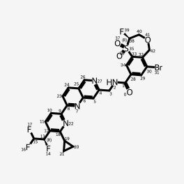 O=C(NCc1cc2nc(-c3ccc([C@@H](F)C(F)F)c(C4CC4)n3)ccc2cn1)c1cc(Br)c2c(c1)S(=O)(=O)[C@@H](F)COC2